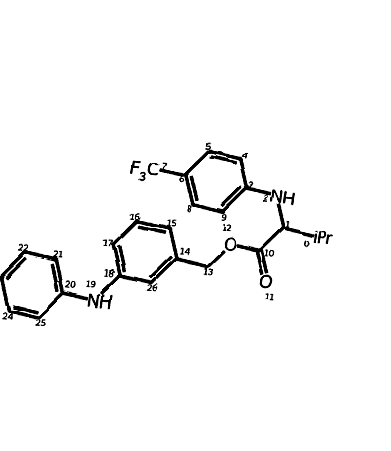 CC(C)C(Nc1ccc(C(F)(F)F)cc1)C(=O)OCc1cccc(Nc2ccccc2)c1